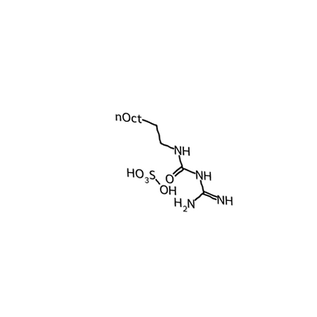 CCCCCCCCCCNC(=O)NC(=N)N.O=S(=O)(O)O